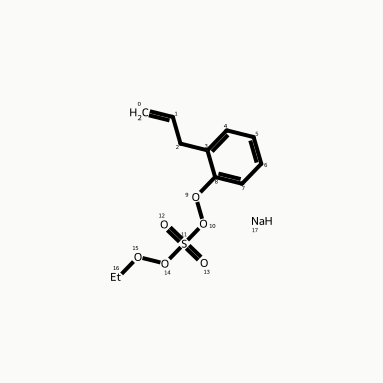 C=CCc1ccccc1OOS(=O)(=O)OOCC.[NaH]